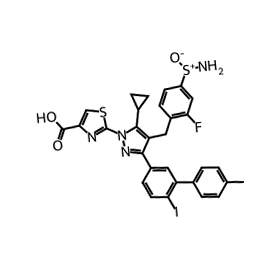 Cc1ccc(-c2cc(-c3nn(-c4nc(C(=O)O)cs4)c(C4CC4)c3Cc3ccc([S+](N)[O-])cc3F)ccc2I)cc1